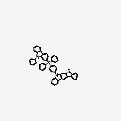 c1ccc(-n2c3ccccc3c3ccc([Si](c4ccccc4)(c4ccccc4)c4ccc(-n5c6ccccc6c6cc7c(cc65)sc5ccccc57)cc4)cc32)cc1